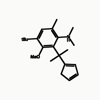 COc1c(C(C)(C)C)cc(C)c([SiH](C)C)c1C(C)(C)C1=CC=CC1